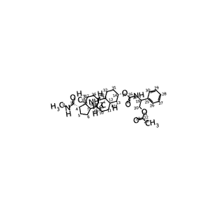 CNC(=O)[C@H]1CC[C@]2(N)[C@@H]3CC[C@@H]4C[C@@H](OC(=O)NC(COC(C)=O)c5ccccc5)CC[C@]4(C)[C@H]3CC[C@]12C